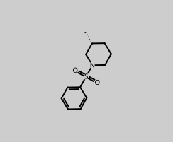 C[C@@H]1CCCN(S(=O)(=O)c2ccccc2)C1